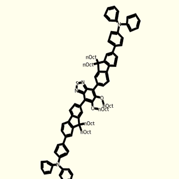 CCCCCCCCOc1c(OCCCCCCCC)c(-c2ccc3c(c2)C(CCCCCCCC)(CCCCCCCC)c2cc(-c4ccc(N(c5ccccc5)c5ccccc5)cc4)ccc2-3)c2nsnc2c1-c1ccc2c(c1)C(CCCCCCCC)(CCCCCCCC)c1cc(-c3ccc(N(c4ccccc4)c4ccccc4)cc3)ccc1-2